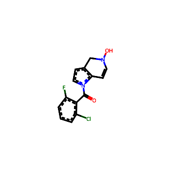 O=C(c1c(F)cccc1Cl)n1ccc2c1C=CN(O)C2